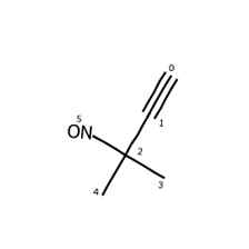 C#CC(C)(C)N=O